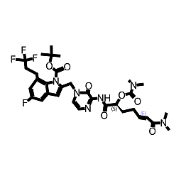 CN(C)C(=O)/C=C/CC[C@H](OC(=O)N(C)C)C(=O)Nc1nccn(Cc2cc3cc(F)cc(CCC(F)(F)F)c3n2C(=O)OC(C)(C)C)c1=O